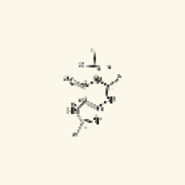 Cc1nc2nc(C)n(C(C)(C)C)c(=O)c2[nH]1